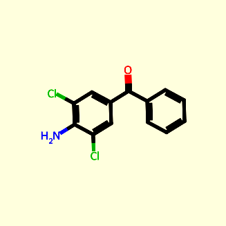 Nc1c(Cl)cc(C(=O)c2ccccc2)cc1Cl